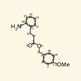 COc1ccc(COC(=O)CCc2ccccc2N)cc1